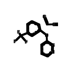 FC(F)(F)c1cccc(Oc2cccnn2)c1.O=CO